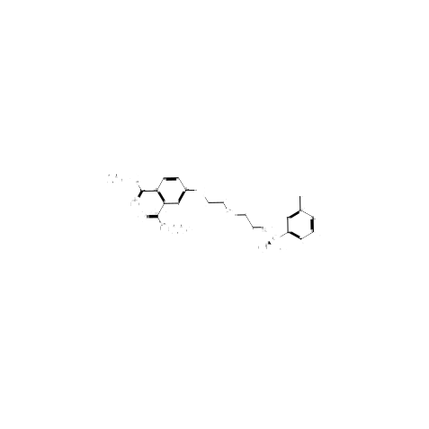 COC(=O)c1ccc(OCCOCCOS(=O)(=O)c2cccc(C)c2)cc1C(=O)OC